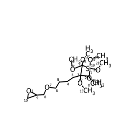 CCC(CCCCOCC1CO1)(OC)C(OC)(OC)[Si](OC)(OC)OC